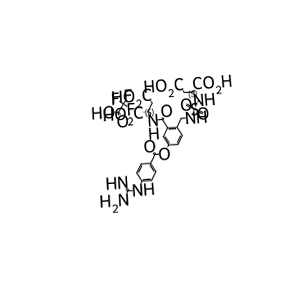 N=C(N)Nc1ccc(C(=O)Oc2ccc(CNS(=O)(=O)N[C@@H](CC(=O)O)C(=O)O)c(C(=O)N[C@@H](CC(=O)O)C(=O)O)c2)cc1.O=C(O)C(F)(F)F